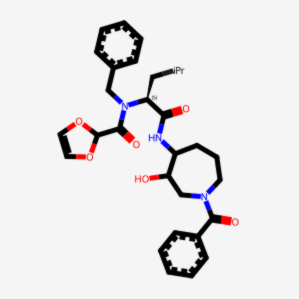 CC(C)C[C@@H](C(=O)NC1CCCN(C(=O)c2ccccc2)CC1O)N(Cc1ccccc1)C(=O)C1OC=CO1